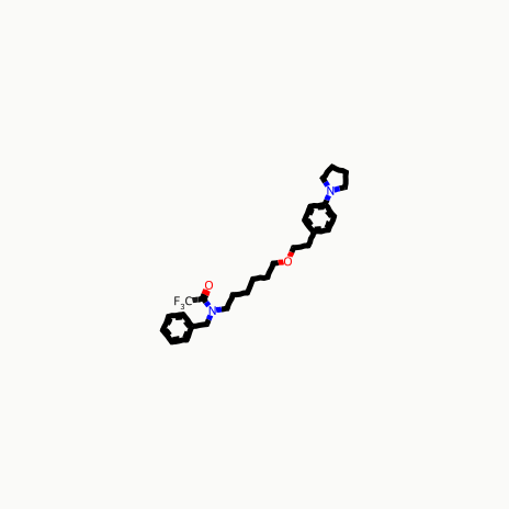 O=C(N(CCCCCCOCCc1ccc(N2CCCC2)cc1)Cc1ccccc1)C(F)(F)F